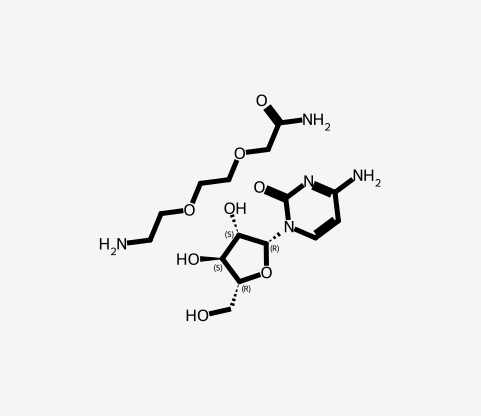 NCCOCCOCC(N)=O.Nc1ccn([C@@H]2O[C@H](CO)[C@@H](O)[C@@H]2O)c(=O)n1